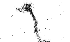 CCCCCCCC/C=C\CCCCCCCC(=O)NCCOCCOCCOCCOCCOCCOCC(=O)[C@@](C)(N)C(=O)N[C@H](C(=O)O)C(C)C